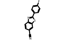 N#Cc1ccc2nc(-c3ccc(F)cc3)sc2c1